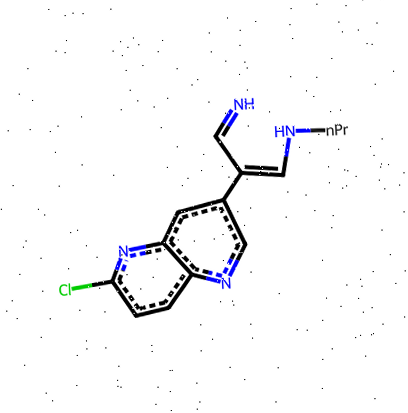 CCCN/C=C(\C=N)c1cnc2ccc(Cl)nc2c1